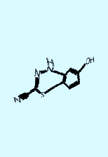 N#CC1=NNc2cc(O)ccc2S1